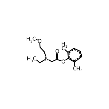 CCN(CCOC)CC(=O)Oc1c(C)cccc1C